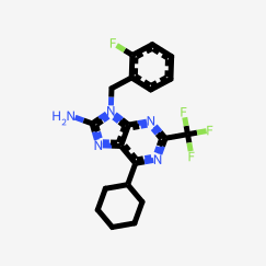 Nc1nc2c(C3CCCCC3)nc(C(F)(F)F)nc2n1Cc1ccccc1F